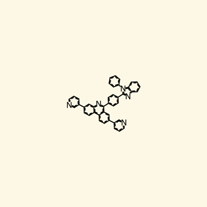 c1ccc(-n2c(-c3ccc(-c4nc5cc(-c6cccnc6)ccc5c5ccc(-c6cccnc6)cc45)cc3)nc3ccccc32)cc1